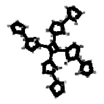 c1csc(-c2ccc(C3=C(c4ccc(-c5cccs5)s4)C(c4ccc(-c5cccs5)s4)=C3c3ccc(-c4cccs4)s3)s2)c1